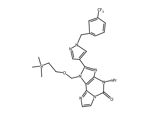 CCCn1c(=O)n2ccnc2c2c1nc(-c1cnn(Cc3cccc(C(F)(F)F)c3)c1)n2COCC[Si](C)(C)C